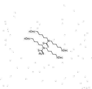 CCCCCCCCCCCCCCCN(CCCCCCCCCCCCCCC)C(=S)[S-].CCCCCCCCCCCCCCCN(CCCCCCCCCCCCCCC)C(=S)[S-].[Pb+2]